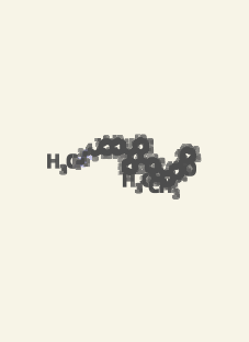 C/C=C\C=C/Cc1ccc2ccc(-c3c4ccccc4c(-c4ccc5c(c4)C(C)(C)c4ccc6cc7oc8ccccc8c7cc6c4-5)c4ccccc34)cc2c1